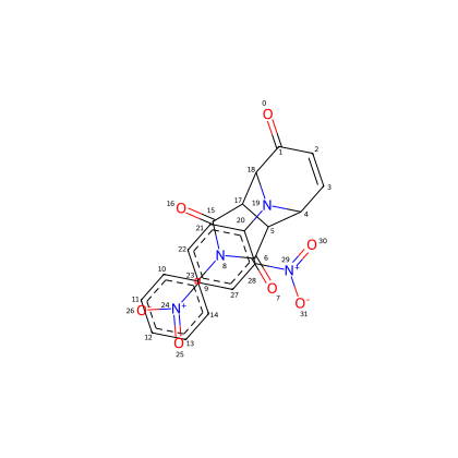 O=C1C=CC2C3C(=O)N(c4ccccc4)C(=O)C3C1N2c1ccc([N+](=O)[O-])cc1[N+](=O)[O-]